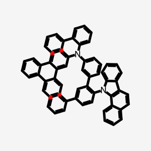 c1ccc(-c2ccc(-n3c4ccccc4c4ccc5ccccc5c43)c(-c3cccc(N(c4ccc5c6ccccc6c6ccccc6c5c4)c4ccccc4-c4ccccc4)c3)c2)cc1